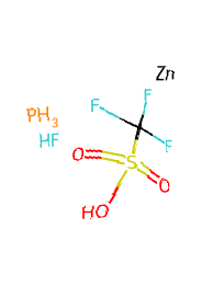 F.O=S(=O)(O)C(F)(F)F.P.[Zn]